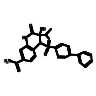 CC(C)C1(O)C(=O)Nc2cc(C(N)=O)ccc2N1S(=O)(=O)c1ccc(-c2ccccc2)cc1